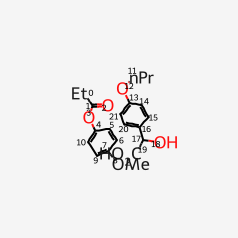 CCC(=O)Oc1ccc(OC)cc1.CCCOc1ccc(C(O)C(=O)O)cc1